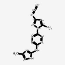 Cc1n[nH]c(Nc2nnc(-n3nc(N=[N+]=[N-])nc3N)nn2)n1